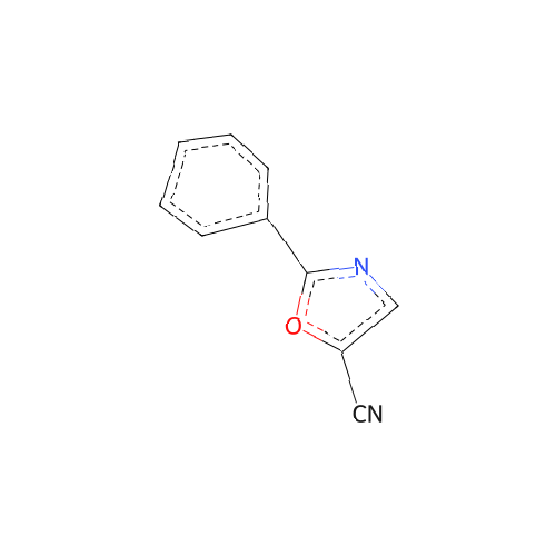 N#Cc1cnc(-c2ccccc2)o1